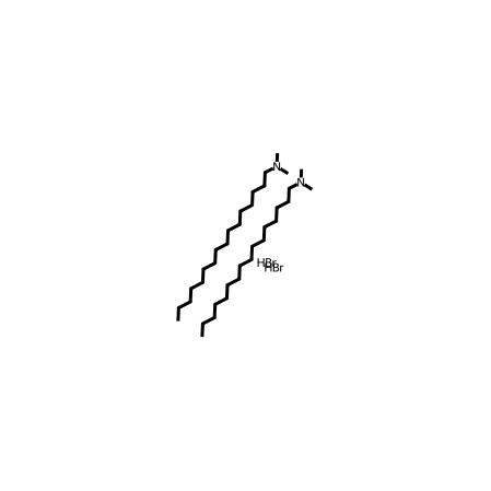 Br.Br.CCCCCCCCCCCCCCCCN(C)C.CCCCCCCCCCCCCCCCN(C)C